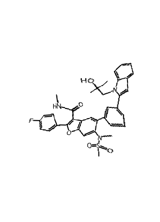 CNC(=O)c1c(-c2ccc(F)cc2)oc2cc(N(C)S(C)(=O)=O)c(-c3cccc(-c4cc5ccccc5n4CC(C)(C)O)c3)cc12